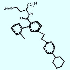 CSCCC(NC(=O)c1ccc(CCc2ccc(C3CCCCC3)cc2)cc1-c1ccccc1C)C(=O)O